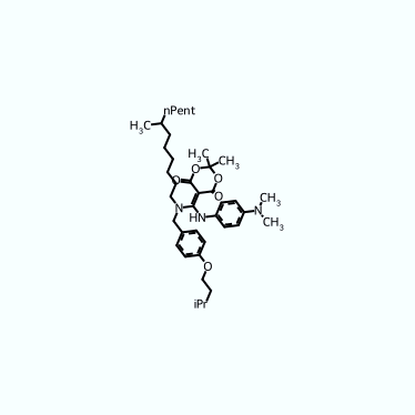 CCCCCC(C)CCCCCCN(Cc1ccc(OCCC(C)C)cc1)C(Nc1ccc(N(C)C)cc1)=C1C(=O)OC(C)(C)OC1=O